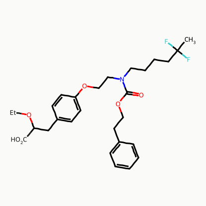 CCOC(Cc1ccc(OCCN(CCCCC(C)(F)F)C(=O)OCCc2ccccc2)cc1)C(=O)O